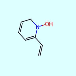 C=CC1=CC=CCN1O